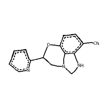 N#Cc1ccc2c3c1NCN3CC(c1ccccn1)O2